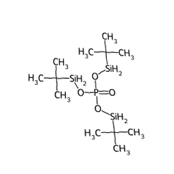 CC(C)(C)[SiH2]OP(=O)(O[SiH2]C(C)(C)C)O[SiH2]C(C)(C)C